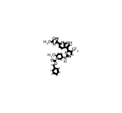 Cc1nc(-c2ccc3c(-c4nc(N[C@H]5CC[C@H](C)N(C(=O)OCc6ccccc6)C5)ncc4C(F)(F)F)c[nH]c3n2)no1